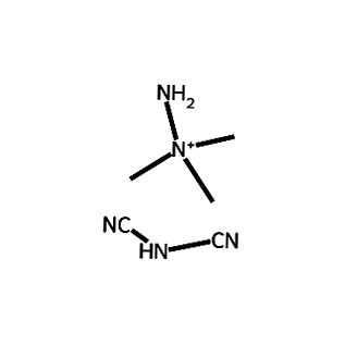 C[N+](C)(C)N.N#CNC#N